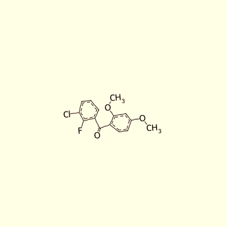 COc1ccc(C(=O)c2cccc(Cl)c2F)c(OC)c1